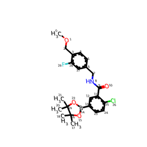 COCc1ccc(CNC(=O)c2cc(B3OC(C)(C)C(C)(C)O3)ccc2Cl)cc1F